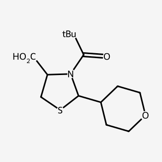 CC(C)(C)C(=O)N1C(C(=O)O)CSC1C1CCOCC1